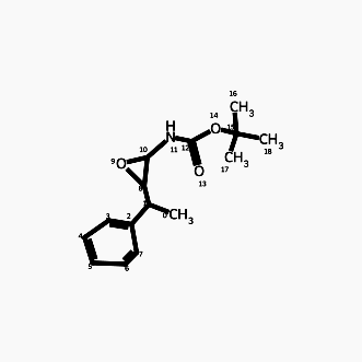 CC(c1ccccc1)C1OC1NC(=O)OC(C)(C)C